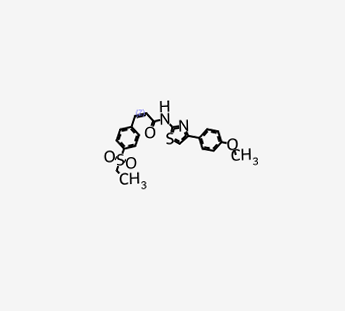 CCS(=O)(=O)c1ccc(/C=C\C(=O)Nc2nc(-c3ccc(OC)cc3)cs2)cc1